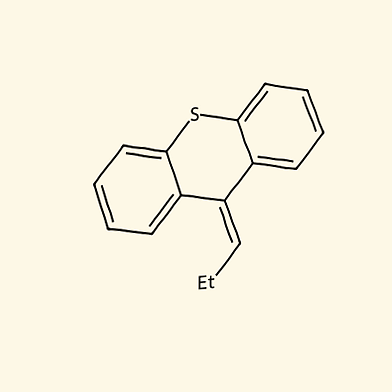 CCC=C1c2ccccc2Sc2ccccc21